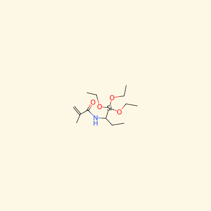 C=C(C)C(=O)NC(CC)[Si](OCC)(OCC)OCC